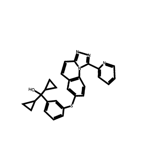 OC(c1cccc(Sc2ccc3c(ccc4nnc(-c5ccccn5)n43)c2)c1)(C1CC1)C1CC1